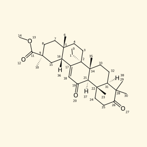 CC[C@@]12CC[C@@]3(C)CC[C@](C)(C(=O)OC)C[C@H]3C1=CC(=O)[C@@H]1[C@@]3(C)CCC(=O)C(C)(C)[C@@H]3CC[C@]12C